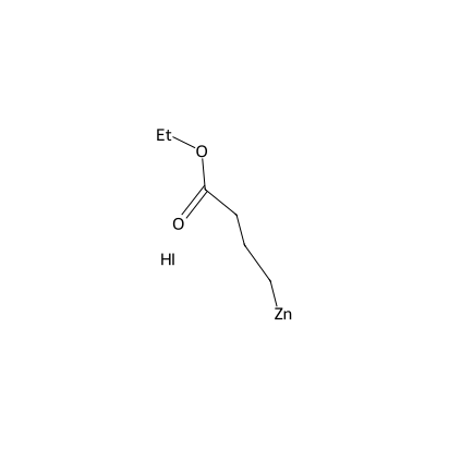 CCOC(=O)CC[CH2][Zn].I